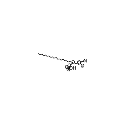 CCCCCCCCCCCCCCCCCCC[C@H](COP(=O)(O)OC)OCc1ccc(C#N)c(OC)c1